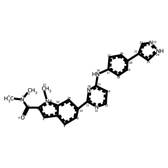 CN(C)C(=O)c1cc2ccc(-c3nccc(Nc4ccc(-c5cn[nH]c5)cc4)n3)cc2n1C